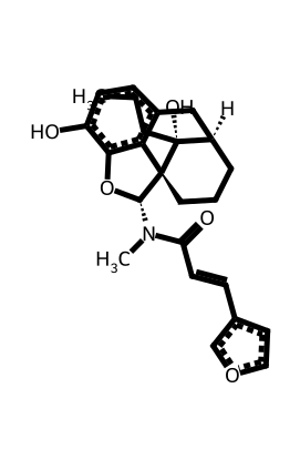 CCC[C@@]1(O)[C@@H]2CCC[C@@]13c1c(ccc(O)c1O[C@H]3N(C)C(=O)/C=C/c1ccoc1)C2